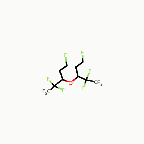 FCCC(OC(CCF)C(F)(F)C(F)(F)F)C(F)(F)C(F)(F)F